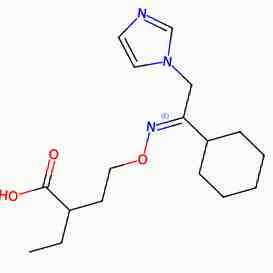 CCC(CCO/N=C(/Cn1ccnc1)C1CCCCC1)C(=O)O